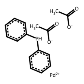 CC(=O)[O-].CC(=O)[O-].[Pd+2].c1ccc(Pc2ccccc2)cc1